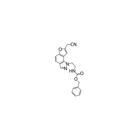 C[C@@H](Cn1ncc2ccc3oc(CC#N)cc3c21)NC(=O)OCc1ccccc1